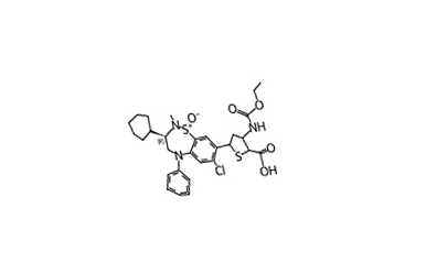 CCOC(=O)NC1CC(c2cc3c(cc2Cl)N(c2ccccc2)C[C@@H](C2CCCCC2)N(C)[S+]3[O-])SC1C(=O)O